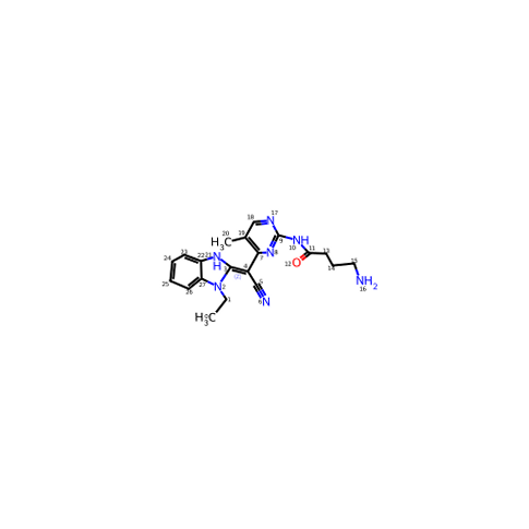 CCN1/C(=C(\C#N)c2nc(NC(=O)CCCN)ncc2C)Nc2ccccc21